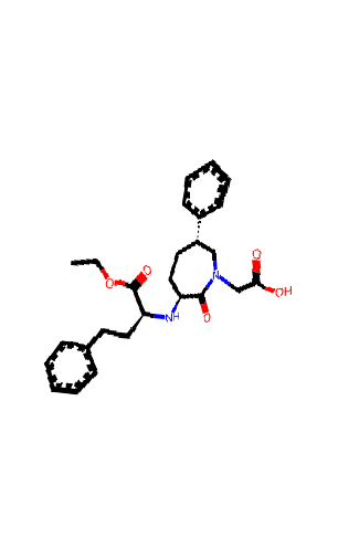 CCOC(=O)[C@H](CCc1ccccc1)N[C@H]1CC[C@H](c2ccccc2)CN(CC(=O)O)C1=O